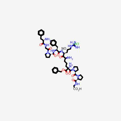 Cl.N=C(N)NCCC[C@@H](C(=O)C(N)CCC[C@@](N)(C(=O)OCc1ccccc1)C(=O)N1CCC[C@H]1C(=O)N1CCC[C@H]1C(=O)NCC(=O)O)N(C(=O)[C@H](Cc1ccccc1)NC(=O)[C@@H]1CCCN1C(=O)CNC(=O)[C@@H](N)Cc1ccccc1)[N+](=O)[O-]